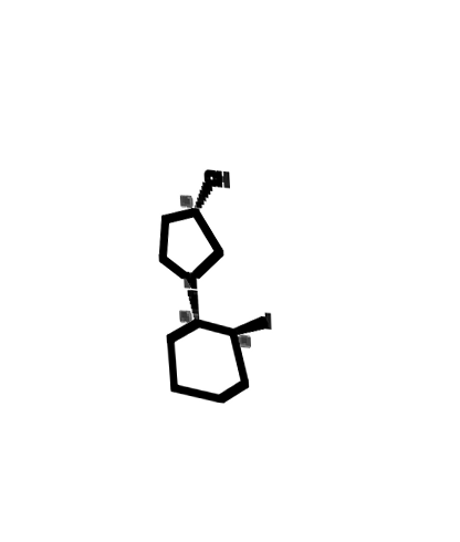 O[C@H]1CCN([C@H]2CCCC[C@@H]2I)C1